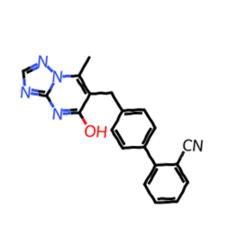 Cc1c(Cc2ccc(-c3ccccc3C#N)cc2)c(O)nc2ncnn12